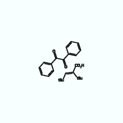 CC(C)(C)C=C(C(=O)O)C(C)(C)C.O=C(C(=O)c1ccccc1)c1ccccc1